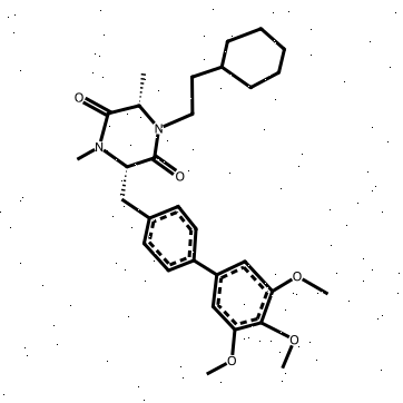 COc1cc(-c2ccc(C[C@H]3C(=O)N(CCC4CCCCC4)[C@@H](C)C(=O)N3C)cc2)cc(OC)c1OC